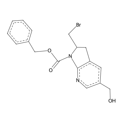 O=C(OCc1ccccc1)N1c2ncc(CO)cc2CC1CBr